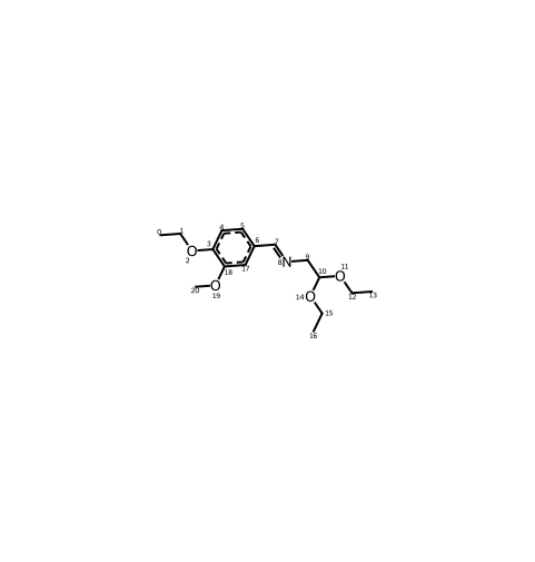 CCOc1ccc(/C=N/CC(OCC)OCC)cc1OC